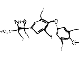 N[C@](I)(C(=O)O)C(I)(I)c1cc(I)c(Oc2cc(I)c(O)c(I)c2)c(I)c1